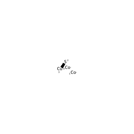 [Co].[Co].[S]=[Cu]